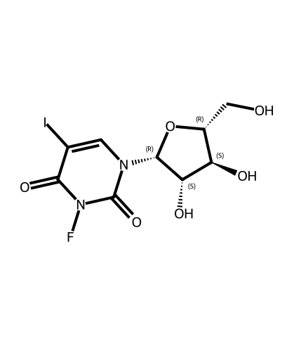 O=c1c(I)cn([C@@H]2O[C@H](CO)[C@@H](O)[C@@H]2O)c(=O)n1F